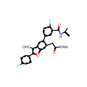 C=C(C)NC(=O)c1cc(-c2cc3c(C=O)c(-c4ccc(F)cc4)oc3cc2CC(=O)OC)ccc1F